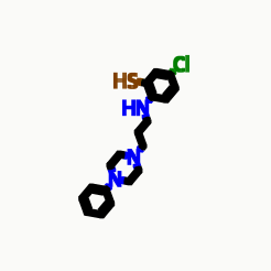 Sc1cc(Cl)ccc1NCCCN1CCN(c2ccccc2)CC1